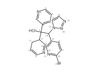 OC(c1cccnc1)(C1C=NC=CC1)C(c1ccc(Br)nc1)n1ccnn1